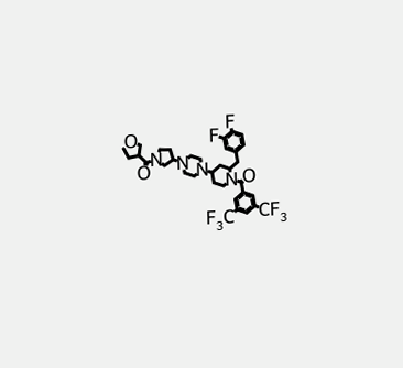 O=C(C1CCOC1)N1CCC(N2CCN(C3CCN(C(=O)c4cc(C(F)(F)F)cc(C(F)(F)F)c4)C(Cc4ccc(F)c(F)c4)C3)CC2)C1